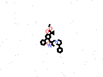 CCOC(=O)C1(c2ccc(-c3ccccc3)c(-c3onc(C)c3CN3CCCC(c4ccccc4)C3)c2)CC1